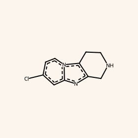 Clc1ccn2c3c(nc2c1)CNCC3